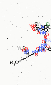 CCCCCCCCCCC(CCCCC(=O)NCC(=O)NCC(=O)N[C@@H](Cc1ccccc1)C(=O)NCC(=O)NCOCC(=O)N[C@H]1CCc2c(C)c(Cl)cc3nc4c(c1c23)Cn1c-4cc2c(c1=O)COC(=O)[C@]2(O)CC)c1cnc(S(C)(=O)=O)nc1